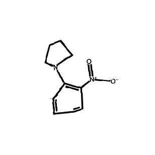 O=[N+]([O-])c1ccc[c]c1N1CCCC1